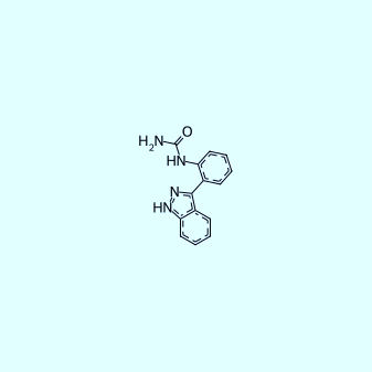 NC(=O)Nc1ccccc1-c1n[nH]c2ccccc12